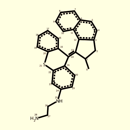 CC1Cc2ccc3ccccc3c2C1=C1c2ccccc2Sc2cc(NCCN)ccc21